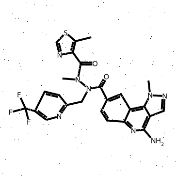 Cc1scnc1C(=O)N(C)N(Cc1ccc(C(F)(F)F)cn1)C(=O)c1ccc2nc(N)c3cnn(C)c3c2c1